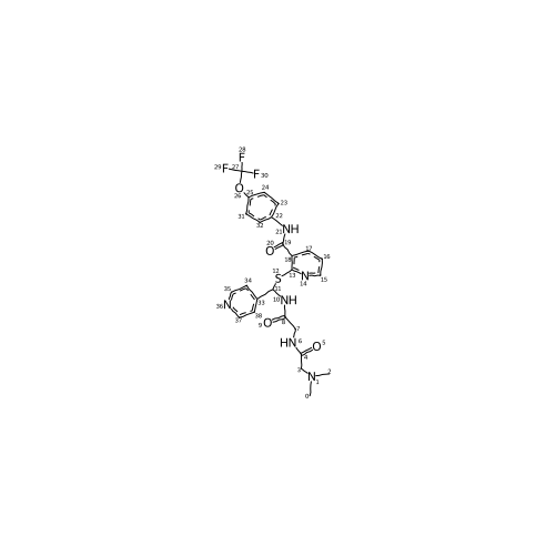 CN(C)CC(=O)NCC(=O)NC(Sc1ncccc1C(=O)Nc1ccc(OC(F)(F)F)cc1)c1ccncc1